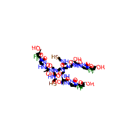 C[C@H](O)[C@@H](CNC(=O)CN(CCN(CC(=O)NCCS)CC(=O)N[C@@H](C(=O)Nc1ccn([C@@H]2O[C@H](CO)CC2(F)F)c(=O)n1)[C@H](C)O)CCN(CC(=O)NCCS)CC(=O)N[C@@H](C(=O)Nc1ccn([C@@H]2O[C@H](CO)CC2(F)F)c(=O)n1)[C@H](C)O)C(=O)Nc1ccn([C@@H]2O[C@H](CO)CC2(F)F)c(=O)n1